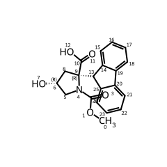 COC(=O)N1C[C@H](O)C[C@]1(C(=O)O)C1c2ccccc2-c2ccccc21